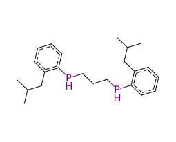 CC(C)Cc1ccccc1PCCCPc1ccccc1CC(C)C